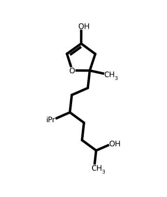 CC(O)CCC(CCC1(C)CC(O)=CO1)C(C)C